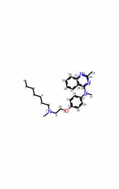 CCCCCCCN(C)CCOc1ccc(N(C)c2nc(C)nc3ccccc23)cc1